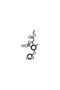 CCOC(=O)CC1OB(O)c2cc(Oc3ccncn3)cc(C)c21